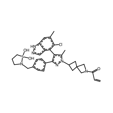 C=CC(=O)N1CC2(CC(n3nc(-c4ccc(CN5CCCS5(O)O)cc4)c(-c4c(Cl)c(C)cc5[nH]ncc45)c3C)C2)C1